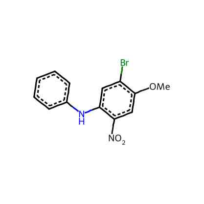 COc1cc([N+](=O)[O-])c(Nc2ccccc2)cc1Br